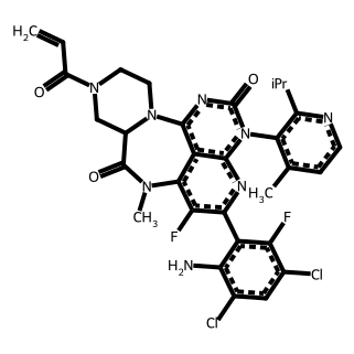 C=CC(=O)N1CCN2c3nc(=O)n(-c4c(C)ccnc4C(C)C)c4nc(-c5c(N)c(Cl)cc(Cl)c5F)c(F)c(c34)N(C)C(=O)C2C1